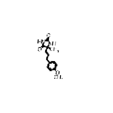 COc1ccc(CCCC2(C)NC(=O)NC2=O)cc1